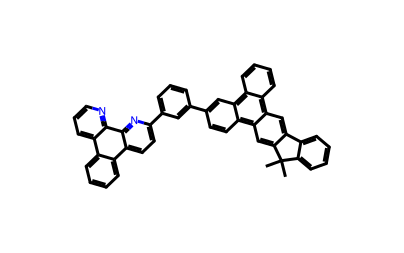 CC1(C)c2ccccc2-c2cc3c4ccccc4c4cc(-c5cccc(-c6ccc7c8ccccc8c8cccnc8c7n6)c5)ccc4c3cc21